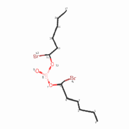 CCCCCC(Br)OB([O])OC(Br)CCCCC